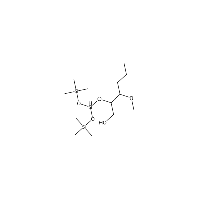 CCCC(OC)C(CO)O[SiH](O[Si](C)(C)C)O[Si](C)(C)C